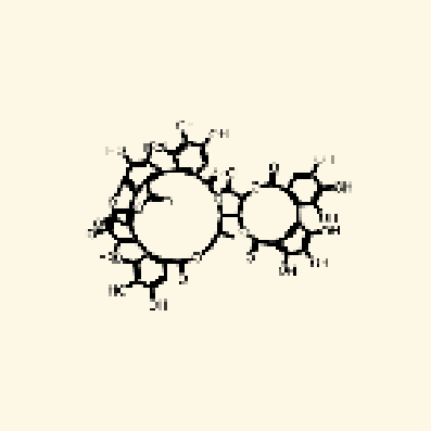 CC(O)C1OC(=O)c2cc(O)c(O)c(O)c2-c2cc(c(O)c(O)c2O)C(=O)OC1C1OC(=O)c2cc(O)c(O)c(O)c2-c2c(O)c(O)c3oc(=O)c4c(c(O)c(O)c5oc(=O)c2c3c54)-c2c(cc(O)c(O)c2O)C(=O)OCC1C